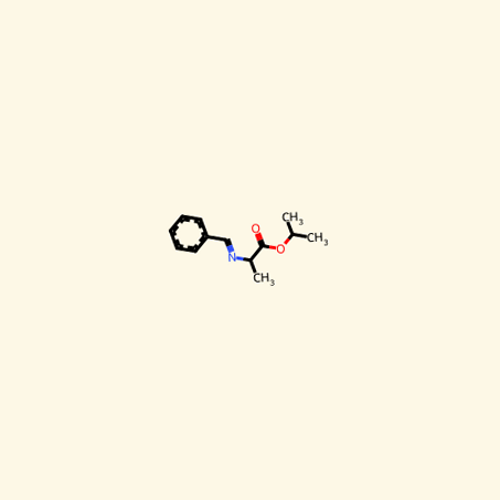 CC(C)OC(=O)C(C)N=Cc1ccccc1